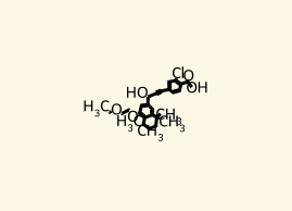 CCOCCOc1cc(C(O)C#Cc2ccc(C(=O)O)c(Cl)c2)cc2c1C(C)(C)CCC2(C)C